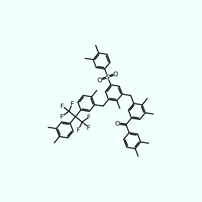 Cc1ccc(C(=O)c2cc(C)c(C)c(Cc3cc(S(=O)(=O)c4ccc(C)c(C)c4)cc(Cc4cc(C(c5ccc(C)c(C)c5)(C(F)(F)F)C(F)(F)F)ccc4C)c3C)c2)cc1C